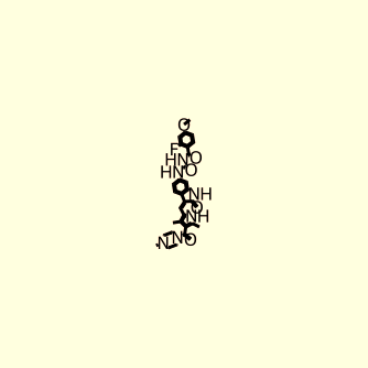 COc1ccc(C(=O)NC(=O)Nc2ccc3c(c2)NC(=O)C3=Cc2[nH]c(C)c(C(=O)N3CCN(C)CC3)c2C)c(F)c1